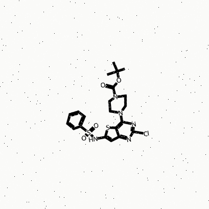 CC(C)(C)OC(=O)N1CCN(c2nc(Cl)nc3cc(NS(=O)(=O)c4ccccc4)sc23)CC1